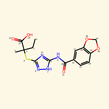 CCC(C)(Sc1n[nH]c(NC(=O)c2ccc3c(c2)OCO3)n1)C(=O)O